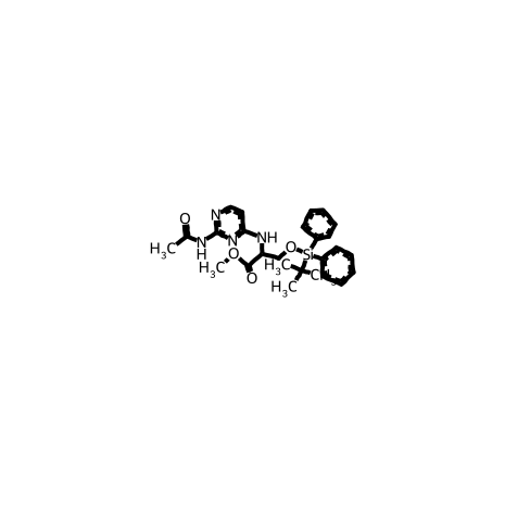 COC(=O)C(CO[Si](c1ccccc1)(c1ccccc1)C(C)(C)C)Nc1ccnc(NC(C)=O)n1